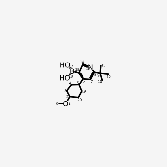 COC1CCC(c2cc(C(C)(C)C)ncc2B(O)O)CC1